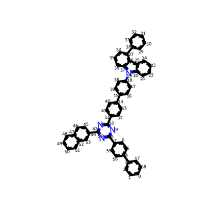 c1ccc(-c2ccc(-c3nc(-c4ccc(-c5ccc(-n6c7ccccc7c7c(-c8ccccc8)cccc76)cc5)cc4)nc(-c4ccc5ccccc5c4)n3)cc2)cc1